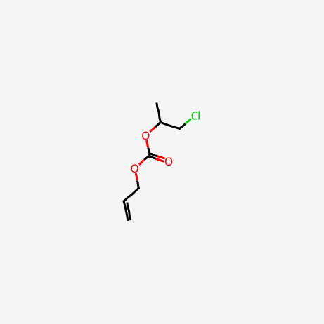 C=CCOC(=O)OC(C)CCl